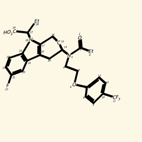 CCC(=O)N(CCOc1ccc(C(F)(F)F)cc1)C1CCc2c(c3cc(F)ccc3n2C(CC)C(=O)O)C1